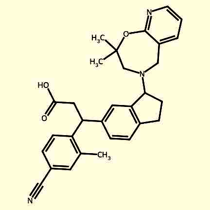 Cc1cc(C#N)ccc1C(CC(=O)O)c1ccc2c(c1)C(N1Cc3cccnc3OC(C)(C)C1)CC2